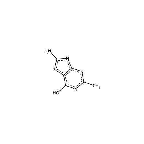 Cc1nc(O)c2sc(N)nc2n1